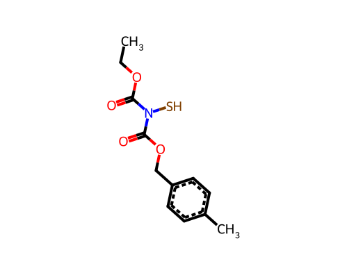 CCOC(=O)N(S)C(=O)OCc1ccc(C)cc1